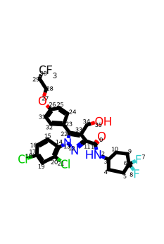 O=C(NC1CCC(F)(F)CC1)c1nn(-c2ccc(Cl)cc2Cl)c(-c2ccc(OCCC(F)(F)F)cc2)c1CO